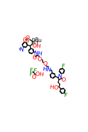 CCCCC1(CC)CS(=O)(=O)c2ccc(N(C)C)cc2C(c2cccc(NC(=O)COCCOCCNCc3cccc(C4C(CCC(O)c5ccc(F)cc5)C(=O)N4c4ccc(F)cc4)c3)c2)C1O.O=C(O)C(F)(F)F